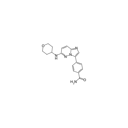 NC(=O)c1ccc(-c2cnc3ccc(NC4CCOCC4)nn23)cc1